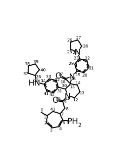 CC1C=CC=C(P)C(CC(=O)N2CCCC3(C(=O)N3c3cccc(N4CCCC4)c3)C2c2ccc(NC3CCCC3)cc2)C1